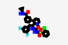 O=C(NC(Cc1cc(F)cc(F)c1)c1ncccc1-c1cccc(C(=O)NC2CC2)c1)NS(=O)(=O)c1ccccc1Cl